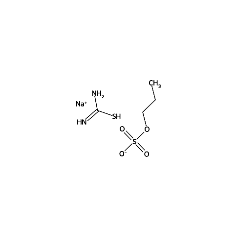 CCCOS(=O)(=O)[O-].N=C(N)S.[Na+]